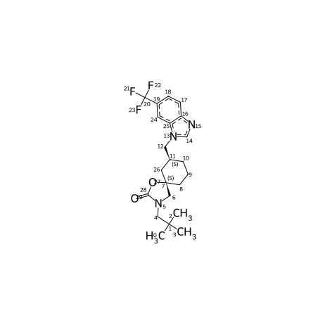 CC(C)(C)CN1C[C@@]2(CCC[C@H](Cn3cnc4ccc(C(F)(F)F)cc43)C2)OC1=O